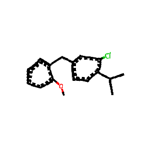 COc1ccccc1Cc1ccc(C(C)C)c(Cl)c1